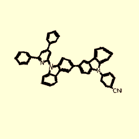 N#Cc1ccc(-n2c3ccccc3c3cc(-c4ccc5c(c4)c4ccccc4n5-c4cc(-c5ccccc5)cc(-c5ccccc5)n4)ccc32)cc1